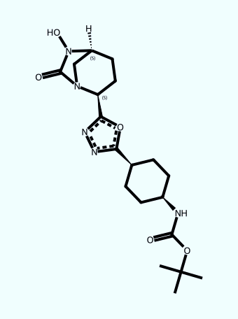 CC(C)(C)OC(=O)N[C@H]1CC[C@@H](c2nnc([C@@H]3CC[C@H]4CN3C(=O)N4O)o2)CC1